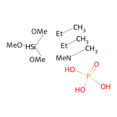 CCC.CCC.CNC.CO[SiH](OC)OC.O=P(O)(O)O